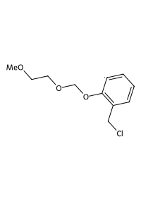 COCCOCOc1[c]cccc1CCl